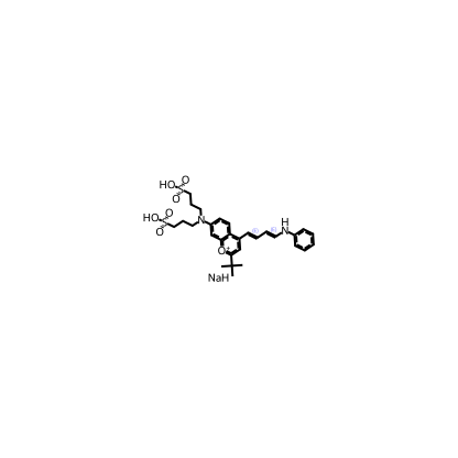 CC(C)(C)c1cc(/C=C/C=C/Nc2ccccc2)c2ccc(N(CCCS(=O)(=O)O)CCCS(=O)(=O)O)cc2[o+]1.[NaH]